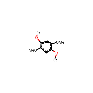 CCOc1cc(OC)c(OCC)cc1OC